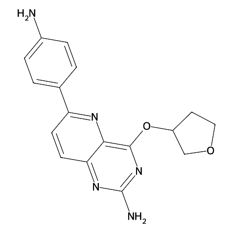 Nc1ccc(-c2ccc3nc(N)nc(OC4CCOC4)c3n2)cc1